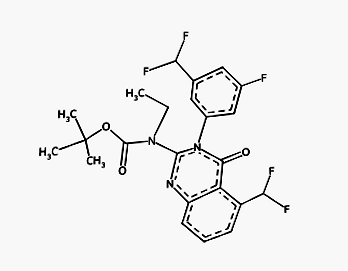 CCN(C(=O)OC(C)(C)C)c1nc2cccc(C(F)F)c2c(=O)n1-c1cc(F)cc(C(F)F)c1